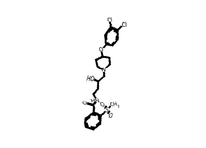 CS(=O)(=O)c1ccccc1C(=O)NCCC(O)CN1CCC(Oc2ccc(Cl)c(Cl)c2)CC1